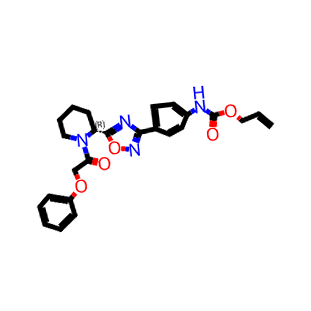 C=CCOC(=O)Nc1ccc(-c2noc([C@H]3CCCCN3C(=O)COc3ccccc3)n2)cc1